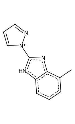 Cc1cccc2[nH]c([N+]3C=CC=N3)nc12